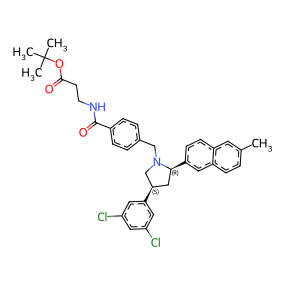 Cc1ccc2cc([C@H]3C[C@@H](c4cc(Cl)cc(Cl)c4)CN3Cc3ccc(C(=O)NCCC(=O)OC(C)(C)C)cc3)ccc2c1